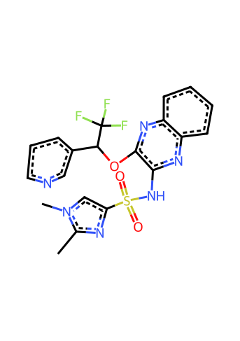 Cc1nc(S(=O)(=O)Nc2nc3ccccc3nc2OC(c2cccnc2)C(F)(F)F)cn1C